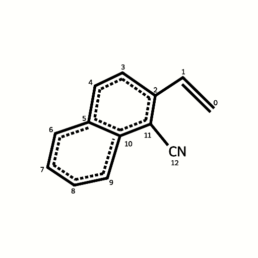 C=Cc1ccc2ccccc2c1C#N